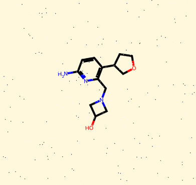 Nc1ccc(C2CCOC2)c(CN2CC(O)C2)n1